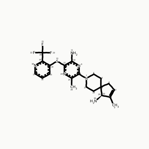 CC1=CCC2(CCN(c3nc(N)c(Sc4cccnc4C(F)(F)F)nc3C)CC2)[C@@H]1N